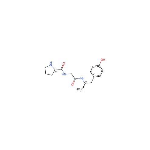 O=C(CNC(=O)[C@@H]1CCCN1)N[C@@H](Cc1ccc(O)cc1)C(=O)O